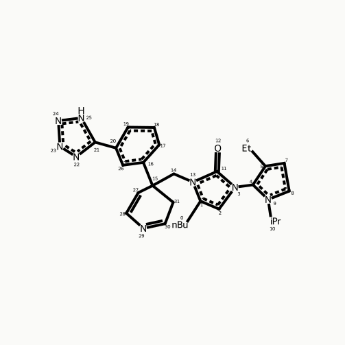 CCCCc1cn(-c2c(CC)ccn2C(C)C)c(=O)n1CC1(c2cccc(-c3nnn[nH]3)c2)C=CN=CC1